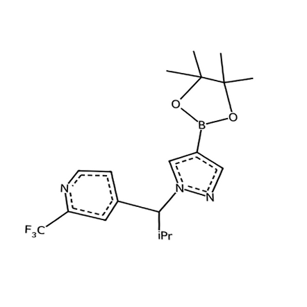 CC(C)C(c1ccnc(C(F)(F)F)c1)n1cc(B2OC(C)(C)C(C)(C)O2)cn1